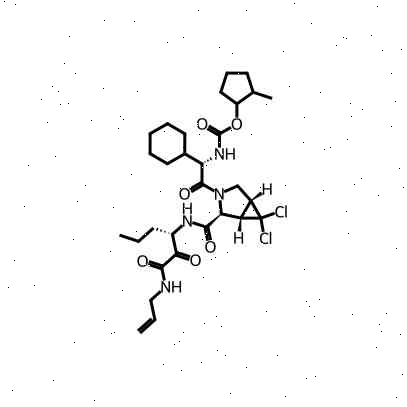 C=CCNC(=O)C(=O)[C@H](CCC)NC(=O)[C@@H]1[C@@H]2[C@H](CN1C(=O)[C@@H](NC(=O)OC1CCCC1C)C1CCCCC1)C2(Cl)Cl